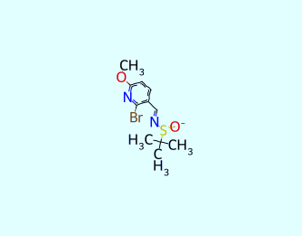 COc1ccc(/C=N/[S+]([O-])C(C)(C)C)c(Br)n1